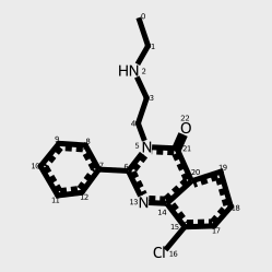 CCNCCn1c(-c2ccccc2)nc2c(Cl)cccc2c1=O